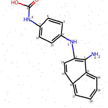 Nc1c(Nc2ccc(NC(=O)O)cc2)ccc2ccccc12